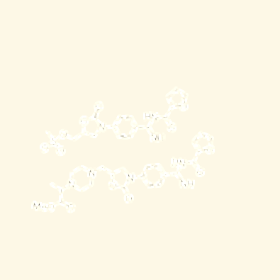 COC(=O)C(C)N1CCN(CC2CN(c3ccc(C(=N)NC(=O)c4ccco4)cc3)C(=O)O2)CC1.CS(=O)(=O)OCC1CN(c2ccc(C(=N)NC(=O)c3ccco3)cc2)C(=O)O1